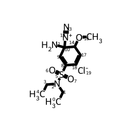 CCN(CC)S(=O)(=O)C1=CC(N)([N+]#N)C(OC)C=C1.[Cl-]